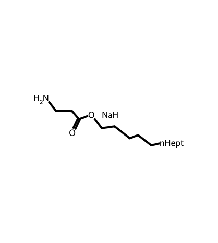 CCCCCCCCCCCCOC(=O)CCN.[NaH]